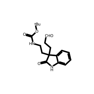 CC(C)(C)OC(=O)NCCC1(CCC=O)C(=O)Nc2ccccc21